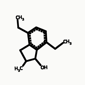 CCc1ccc(CC)c2c1CC(C)C2O